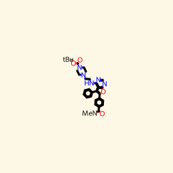 CNC(=O)c1ccc(-c2oc3ncnc(NCCN4CCN(C(=O)OC(C)(C)C)CC4)c3c2-c2ccccc2)cc1